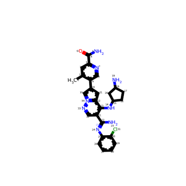 Cc1cc(C(N)=O)ncc1-c1cc2c(NC3CCC(N)C3)c(/C(N)=N/c3ccccc3Cl)cnn2c1